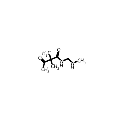 CNCNC(=O)C(C)(C)C(C)=O